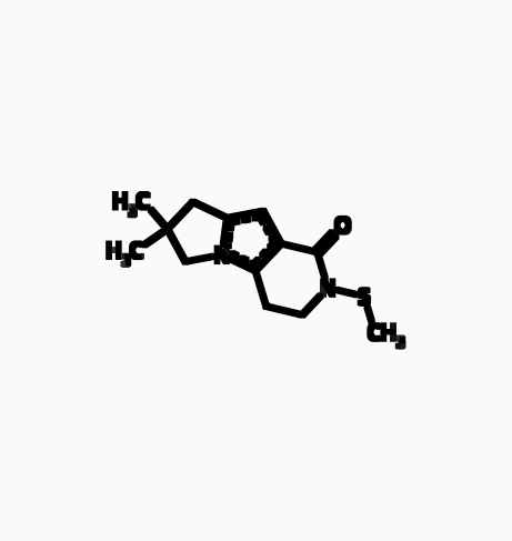 CSN1CCc2c(cc3n2CC(C)(C)C3)C1=O